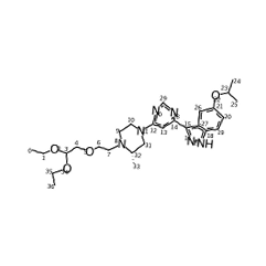 CCOC(COCCN1CCN(c2cc(-c3n[nH]c4ccc(OC(C)C)cc34)ncn2)C[C@@H]1C)OCC